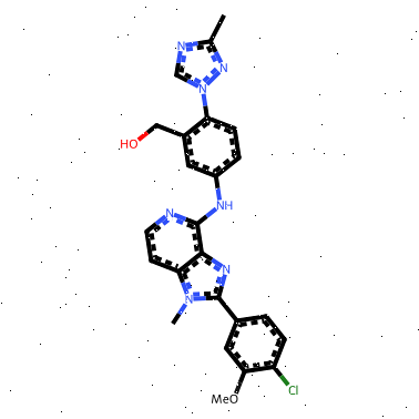 COc1cc(-c2nc3c(Nc4ccc(-n5cnc(C)n5)c(CO)c4)nccc3n2C)ccc1Cl